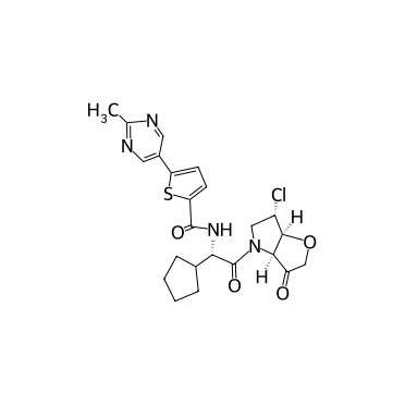 Cc1ncc(-c2ccc(C(=O)N[C@H](C(=O)N3C[C@H](Cl)[C@H]4OCC(=O)[C@H]43)C3CCCC3)s2)cn1